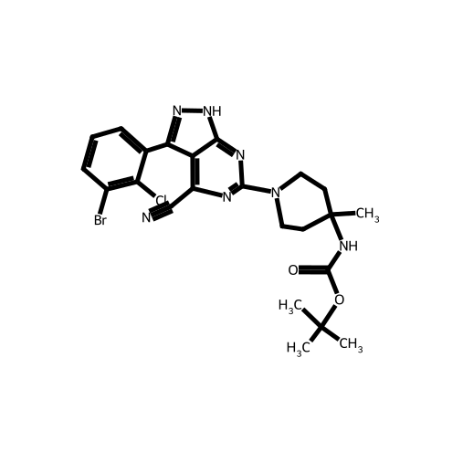 CC1(NC(=O)OC(C)(C)C)CCN(c2nc(C#N)c3c(-c4cccc(Br)c4Cl)n[nH]c3n2)CC1